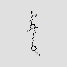 CCc1cc(OC/C=C(/F)Br)cc(C)c1OCCCCOc1ccc(C(F)(F)F)cc1